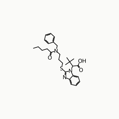 CCCCC(=O)N(CCCSc1nc2ccccc2n1C(C(=O)O)C(C)(C)C)Cc1ccccc1